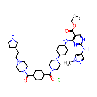 CCOC(=O)c1cnc(Nc2cnn(C)c2)nc1NC1CCC(N2CCN(C(=O)C3CCC(C(=O)N4CCN(CC[C@H]5CCNC5)CC4)CC3)CC2)CC1.Cl